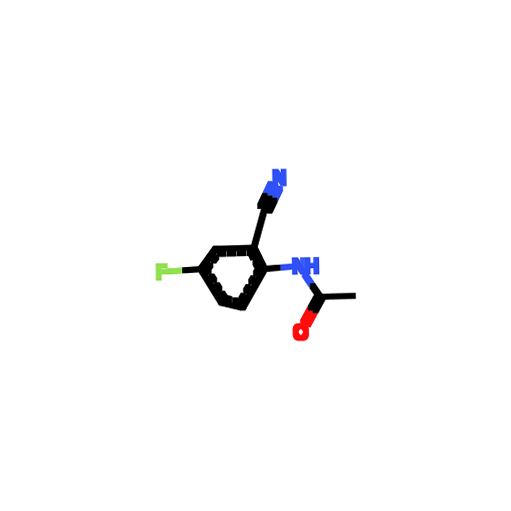 CC(=O)Nc1ccc(F)cc1C#N